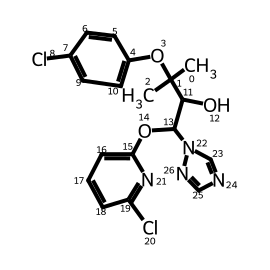 CC(C)(Oc1ccc(Cl)cc1)C(O)C(Oc1cccc(Cl)n1)n1cncn1